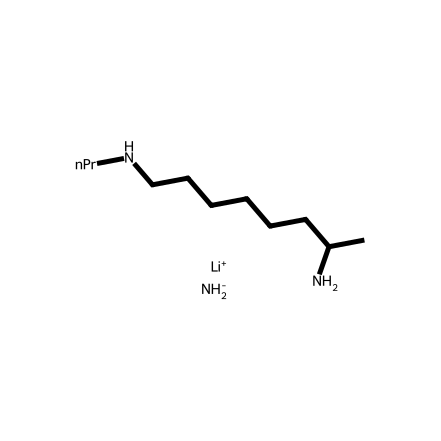 CCCNCCCCCCC(C)N.[Li+].[NH2-]